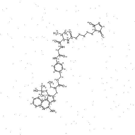 CCN(Cc1nc2c(N)nc3ccccc3c2n1CC(C)(C)O)C(=O)OCc1ccc(NC(=O)CNC(=O)C(NC(=O)CCCCCN2C(=O)C=CC2=O)C(C)C)cc1